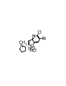 CN1CCC[C@H]1c1cc2nc(Cl)c(Br)cc2o1.Cl.Cl